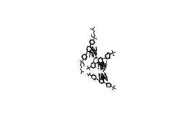 CCC(C)(CCCC(C)C)c1ccc(-c2ccc(-c3ccc(C(C)(CC)CCCC(C)C)cc3)c3nn(CC(C)Cc4cc(C(C)(C)C)ccc4-c4ccc(-c5ccc(C(C)(C)C)cc5)c5nn(CCCn6nc7c(-c8ccc(C(C)(C)C)cc8)ccc(-c8ccc(C(C)(C)C)cc8)c7n6)nc45)nc23)cc1